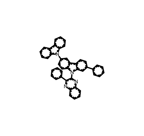 c1ccc(-c2ccc3c4cc(-n5c6ccccc6c6ccccc65)ccc4n(-c4nc5ccccc5nc4-c4ccccc4)c3c2)cc1